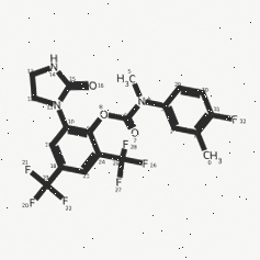 Cc1cc(N(C)C(=O)Oc2c(N3CCNC3=O)cc(C(F)(F)F)cc2C(F)(F)F)ccc1F